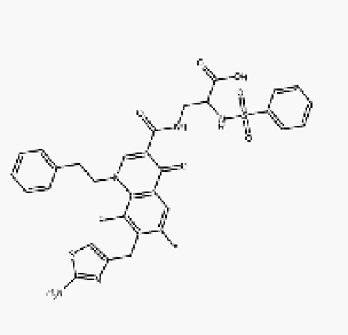 Nc1nc(Cc2c(F)cc3c(=O)c(C(=O)NCC(NS(=O)(=O)c4ccccc4)C(=O)O)cn(CCc4ccccc4)c3c2F)cs1